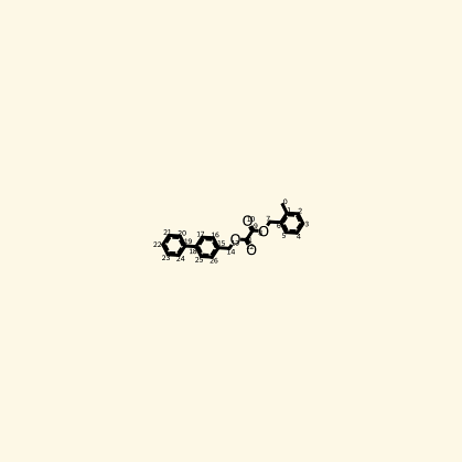 Cc1ccccc1COC(=O)C(=O)OCc1ccc(-c2ccccc2)cc1